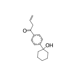 C=CCC(=O)c1ccc(C2(O)CCCCC2)cc1